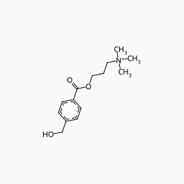 C[N+](C)(C)CCCOC(=O)c1ccc(CO)cc1